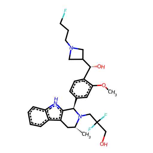 COc1cc([C@@H]2c3[nH]c4ccccc4c3C[C@@H](C)N2CC(F)(F)CO)ccc1[C@@H](O)C1CN(CCCF)C1